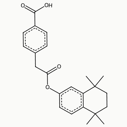 CC1(C)CCC(C)(C)c2cc(OC(=O)Cc3ccc(C(=O)O)cc3)ccc21